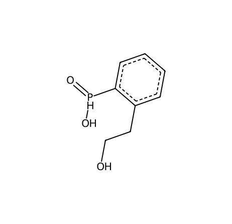 O=[PH](O)c1ccccc1CCO